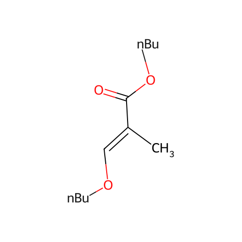 CCCCO/C=C(\C)C(=O)OCCCC